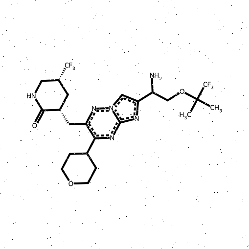 CC(C)(OCC(N)c1cn2nc(C[C@H]3C[C@@H](C(F)(F)F)CNC3=O)c(C3CCOCC3)nc2n1)C(F)(F)F